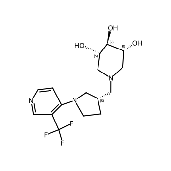 O[C@H]1[C@H](O)CN(C[C@@H]2CCN(c3ccncc3C(F)(F)F)C2)C[C@@H]1O